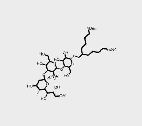 CCCCCCCCCCCCCCC(CCCCCCCCCCCCCC)CO[C@@H]1OC(CO)[C@@H](O[C@@H]2OC(CO)[C@H](O)[C@H](O[C@]3(C(=O)O)CC(O)[C@@H](C)[C@H]([C@H](O)[C@H](O)CO)O3)C2O)C(O)C1O